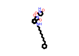 O=C1CCC(N2C(=O)c3cccc(NCCCCCCCCCCC4CCCCC4)c3C2=O)C(=O)N1